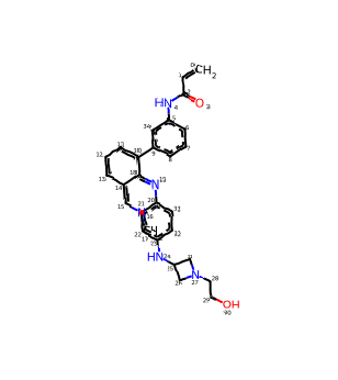 C=CC(=O)Nc1cccc(C2=CC=CC(=C/N=C)/C2=N\c2ccc(NC3CN(CCO)C3)cc2)c1